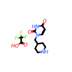 O=C(O)C(F)(F)F.O=c1ccn(CC2CCNCC2)c(=O)[nH]1